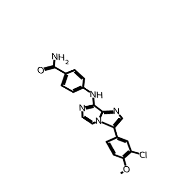 COc1ccc(-c2cnc3c(Nc4ccc(C(N)=O)cc4)nccn23)cc1Cl